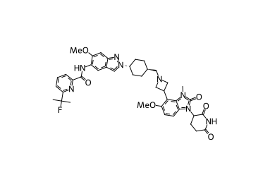 COc1cc2nn([C@H]3CC[C@H](CN4CC(c5c(OC)ccc6c5n(C)c(=O)n6C5CCC(=O)NC5=O)C4)CC3)cc2cc1NC(=O)c1cccc(C(C)(C)F)n1